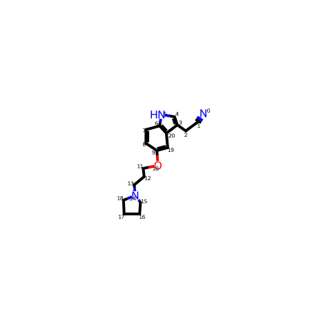 N#CCc1c[nH]c2ccc(OCCCN3CCCC3)cc12